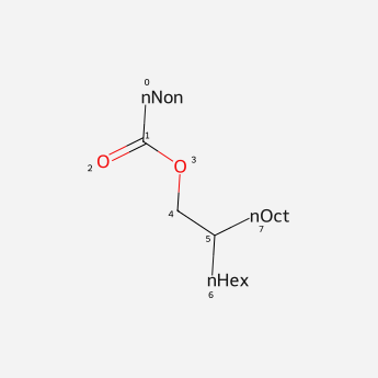 CCCCCCCCCC(=O)OCC(CCCCCC)CCCCCCCC